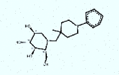 CC1(CN2C[C@H](O)[C@@H](O)[C@H](O)[C@@H]2CO)CCN(c2ccccc2)CC1